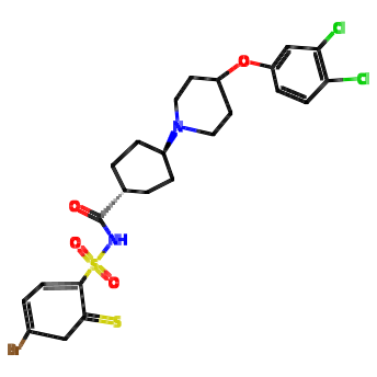 O=C(NS(=O)(=O)C1=CC=C(Br)CC1=S)[C@H]1CC[C@H](N2CCC(Oc3ccc(Cl)c(Cl)c3)CC2)CC1